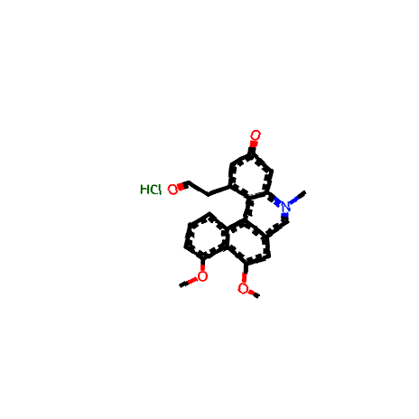 COc1cccc2c1c(OC)cc1cn(C)c3cc(=O)cc(CC=O)c-3c12.Cl